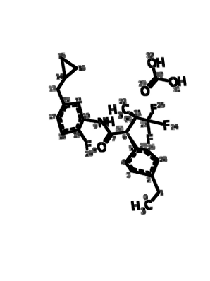 CCc1ccc([C@@H](C(=O)Nc2cc(CC3CC3)ccc2F)[C@@H](C)C(F)(F)F)cc1.O=C(O)O